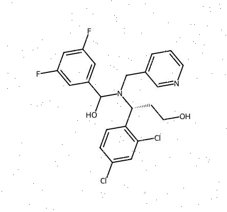 OCC[C@H](c1ccc(Cl)cc1Cl)N(Cc1cccnc1)C(O)c1cc(F)cc(F)c1